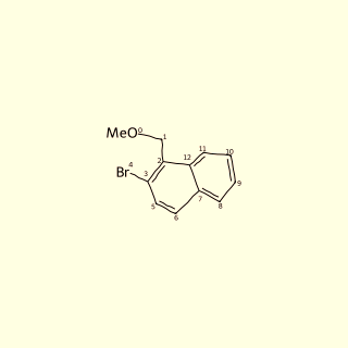 COCc1c(Br)ccc2ccccc12